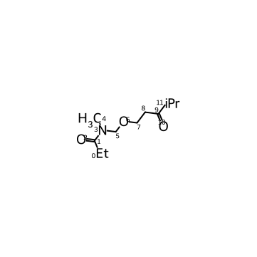 CCC(=O)N(C)COCCC(=O)C(C)C